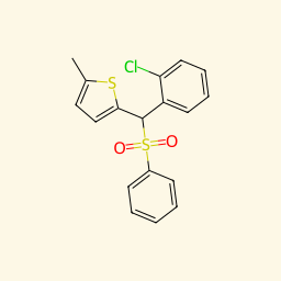 Cc1ccc(C(c2ccccc2Cl)S(=O)(=O)c2ccccc2)s1